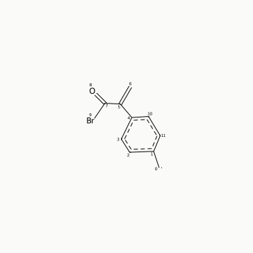 [CH2]c1ccc(C(=C)C(=O)Br)cc1